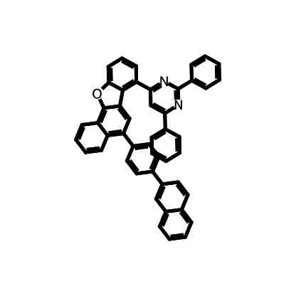 c1ccc(-c2cc(-c3cccc4oc5c6ccccc6c(-c6ccc(-c7ccc8ccccc8c7)cc6)cc5c34)nc(-c3ccccc3)n2)cc1